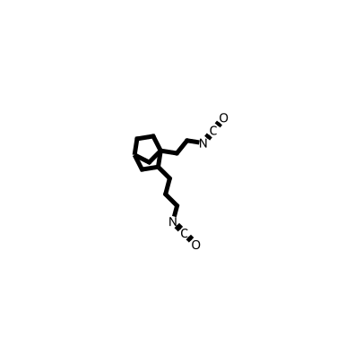 O=C=NCCCC1CC2CCC1(CCN=C=O)C2